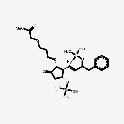 COC(=O)CSCCCS[C@H]1C(=O)C[C@@H](O[Si](C)(C)C(C)(C)C)[C@@H]1/C=C/C(Cc1ccccc1)O[Si](C)(C)C(C)(C)C